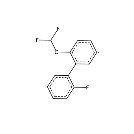 Fc1ccccc1-c1c[c]ccc1OC(F)F